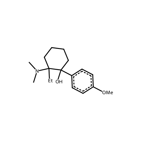 CCC1(N(C)C)CCCCC1(O)c1ccc(OC)cc1